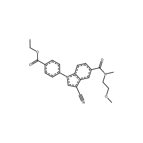 CCOC(=O)c1ccc(-n2cc(C#N)c3cc(C(=O)N(C)CCOC)ccc32)cc1